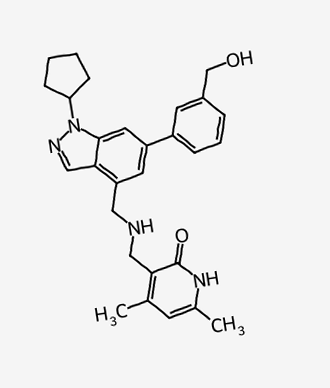 Cc1cc(C)c(CNCc2cc(-c3cccc(CO)c3)cc3c2cnn3C2CCCC2)c(=O)[nH]1